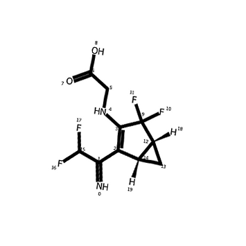 N=C(C1=C(NCC(=O)O)C(F)(F)[C@@H]2C[C@H]12)C(F)F